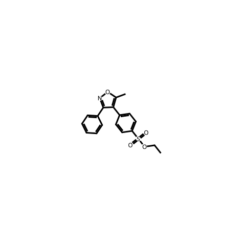 CCOS(=O)(=O)c1ccc(-c2c(-c3ccccc3)noc2C)cc1